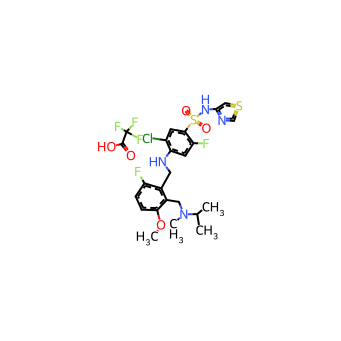 COc1ccc(F)c(CNc2cc(F)c(S(=O)(=O)Nc3cscn3)cc2Cl)c1CN(C)C(C)C.O=C(O)C(F)(F)F